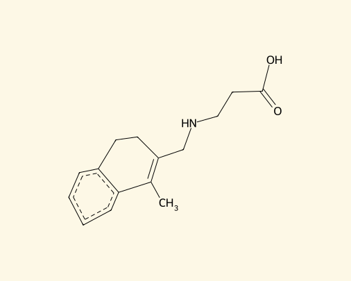 CC1=C(CNCCC(=O)O)CCc2ccccc21